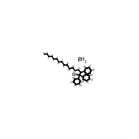 CCCCCCCCCCCCCCC(c1ccccc1)C(Br)(c1ccccc1)c1ccccc1.P